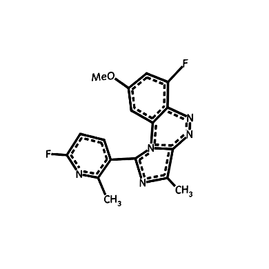 COc1cc(F)c2nnc3c(C)nc(-c4ccc(F)nc4C)n3c2c1